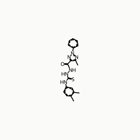 Cc1ccc(NC(=S)NNC(=O)c2nn(-c3ccccc3)nc2C)cc1C